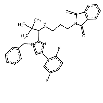 CC(C)(C)C(NCCCN1C(=O)c2ccccc2C1=O)c1nc(-c2cc(F)ccc2F)cn1Cc1ccccc1